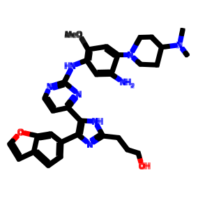 COc1cc(N2CCC(N(C)C)CC2)c(N)cc1Nc1nccc(-c2[nH]c(CCCO)nc2-c2ccc3ccoc3c2)n1